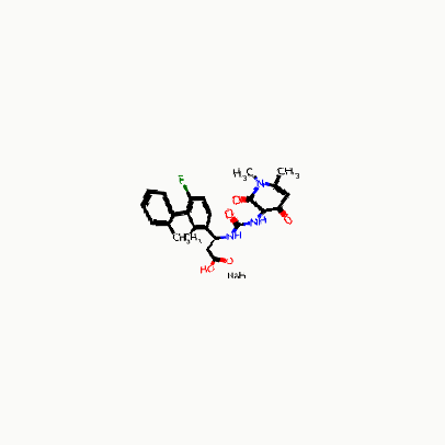 CC1=CC(=O)C(NC(=O)N[C@@H](CC(=O)O)c2ccc(F)c(-c3ccccc3C)c2C)C(=O)N1C.[NaH]